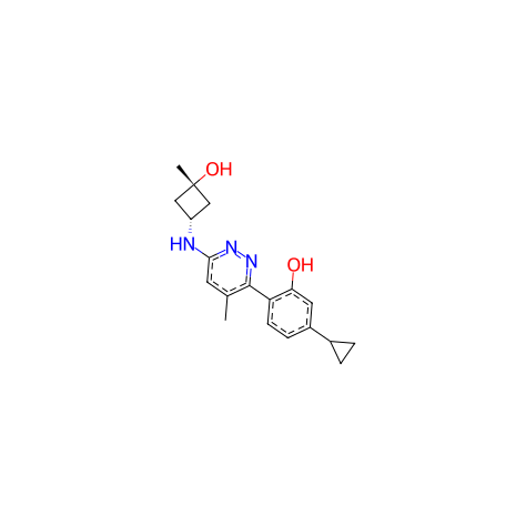 Cc1cc(N[C@H]2C[C@@](C)(O)C2)nnc1-c1ccc(C2CC2)cc1O